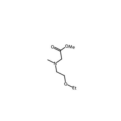 CCOCCN(C)CC(=O)OC